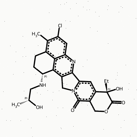 CC[C@@]1(O)C(=O)OCc2c1cc1n(c2=O)Cc2c-1nc1cc(Cl)c(C)c3c1c2[C@H](NC[C@@H](C)O)CC3